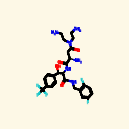 NCCN(CCN)C(=O)C[C@H](N)C(=O)N[C@H](C(=O)NCc1cc(F)ccc1F)[C@H](O)c1ccc(C(F)(F)F)cc1